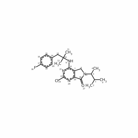 CC(C)C(C)N1Cc2c(NC(C)(C)Cc3ccc(F)cc3)nc(Cl)nc2C1=O